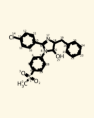 CS(=O)(=O)c1ccc(N2C(c3ccc(Cl)cc3)=NC(Cc3ccccc3)C2O)cc1